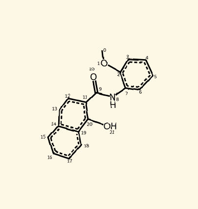 COc1ccccc1NC(=O)c1ccc2ccccc2c1O